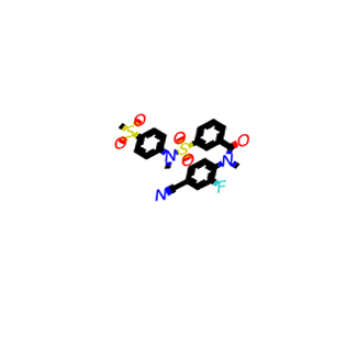 CN(C(=O)c1cccc(S(=O)(=O)N(C)c2ccc(S(C)(=O)=O)cc2)c1)c1ccc(C#N)cc1F